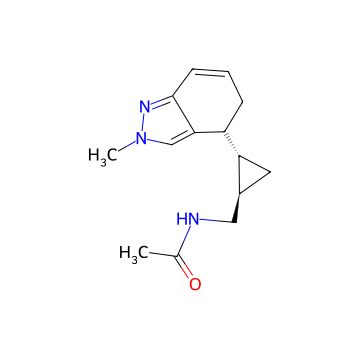 CC(=O)NC[C@@H]1C[C@H]1C1CC=Cc2nn(C)cc21